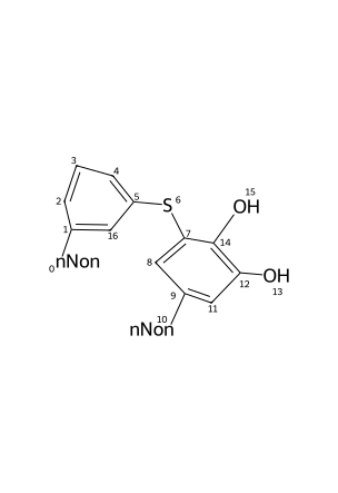 CCCCCCCCCc1cccc(Sc2cc(CCCCCCCCC)cc(O)c2O)c1